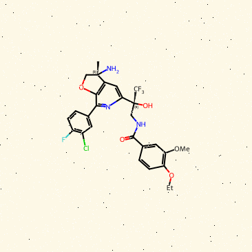 CCOc1ccc(C(=O)NC[C@@](O)(c2cc3c(c(-c4ccc(F)c(Cl)c4)n2)OC[C@]3(C)N)C(F)(F)F)cc1OC